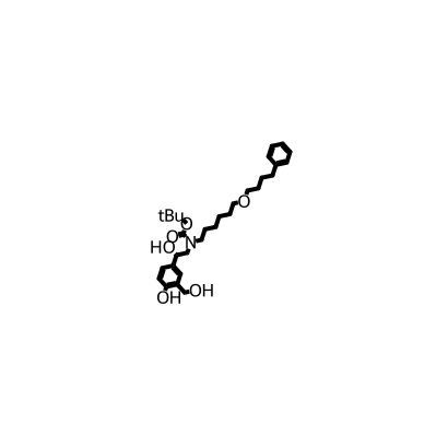 CC(C)(C)OC(=O)N(CCCCCCOCCCCc1ccccc1)CC(O)c1ccc(O)c(CO)c1